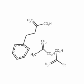 C=C(C)C(=O)O.C=C(CC)C(=O)O.C=C(CCc1ccccc1)C(=O)O